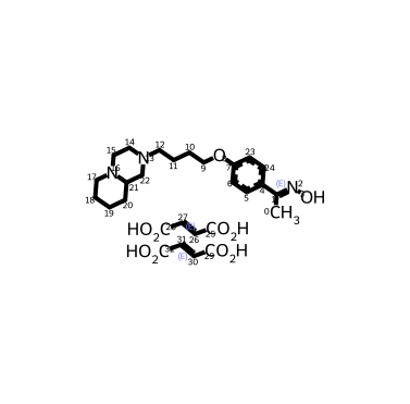 C/C(=N\O)c1ccc(OCCCCN2CCN3CCCCC3C2)cc1.O=C(O)/C=C/C(=O)O.O=C(O)/C=C/C(=O)O